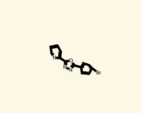 Brc1ccc(-c2nnc(-c3ccccn3)o2)cc1